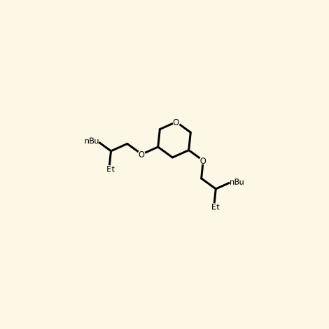 CCCCC(CC)COC1COCC(OCC(CC)CCCC)C1